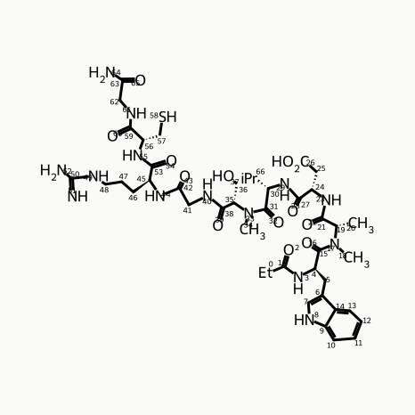 CCC(=O)N[C@H](Cc1c[nH]c2ccccc12)C(=O)N(C)[C@@H](C)C(=O)N[C@@H](CC(=O)O)C(=O)N[C@H](C(=O)N(C)[C@@H](CO)C(=O)NCC(=O)N[C@@H](CCCNC(=N)N)C(=O)N[C@@H](CS)C(=O)NCC(N)=O)C(C)C